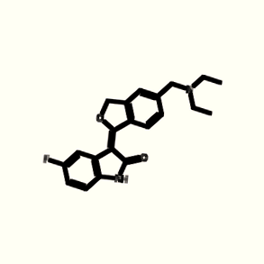 CCN(CC)Cc1ccc2c(c1)COC2=C1C(=O)Nc2ccc(F)cc21